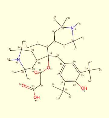 CCC(C1CC(C)(C)N(C)C(C)(C)C1)C(Cc1cc(C(C)(C)C)c(O)c(C(C)(C)C)c1)(OC(=O)CC(=O)O)C1CC(C)(C)N(C)C(C)(C)C1